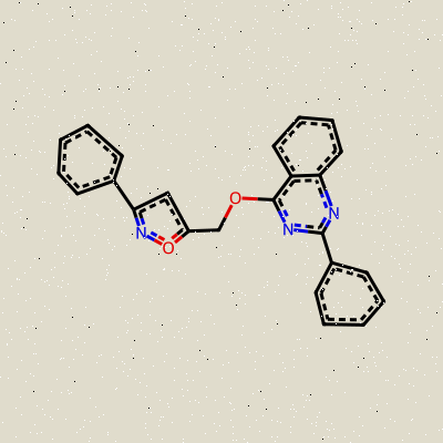 c1ccc(-c2cc(COc3nc(-c4ccccc4)nc4ccccc34)on2)cc1